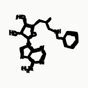 CC(CNCc1ccccc1)C[C@H]1O[C@@H](n2cnc3c(N)ncnc32)C(O)[C@H]1O